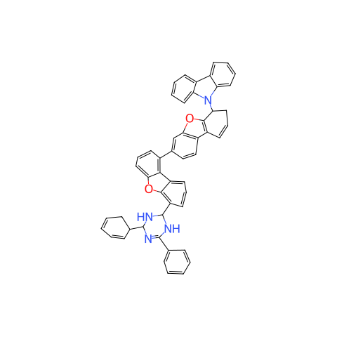 C1=CCC(C2N=C(c3ccccc3)NC(c3cccc4c3oc3cccc(-c5ccc6c7c(oc6c5)C(n5c6ccccc6c6ccccc65)CC=C7)c34)N2)C=C1